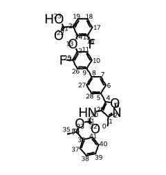 Cc1noc(-c2ccc(-c3ccc(Oc4c(F)cccc4C(=O)O)c(F)c3)cc2)c1NC(=O)O[C@H](C)c1ccccc1